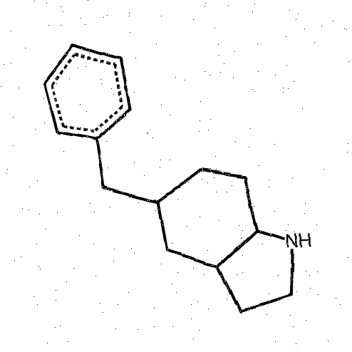 c1ccc(CC2CCC3NCCC3C2)cc1